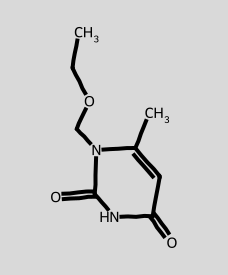 CCOCn1c(C)cc(=O)[nH]c1=O